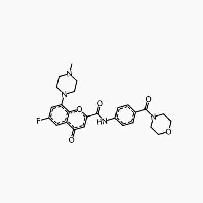 CN1CCN(c2cc(F)cc3c(=O)cc(C(=O)Nc4ccc(C(=O)N5CCOCC5)cc4)oc23)CC1